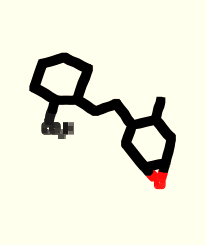 CC1CC2OC2CC1CCC1CCCCC1C(=O)O